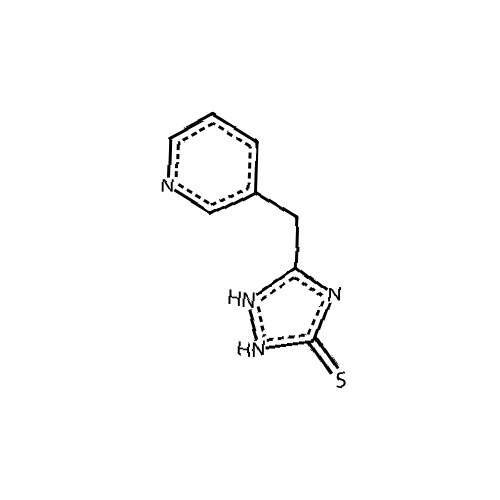 S=c1nc(Cc2cccnc2)[nH][nH]1